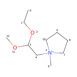 CCOC(C[N+]1(C)CCCC1)OC